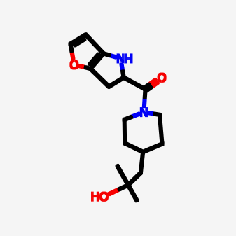 CC(C)(O)CC1CCN(C(=O)C2Cc3occc3N2)CC1